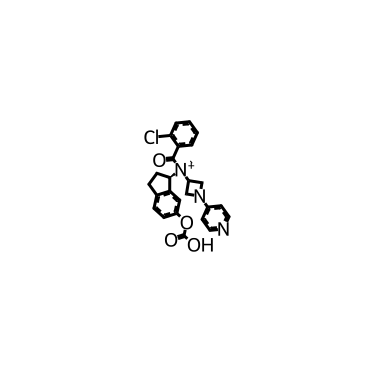 C[N+](C(=O)c1ccccc1Cl)(C1CN(c2ccncc2)C1)[C@@H]1CCc2ccc(OC(=O)O)cc21